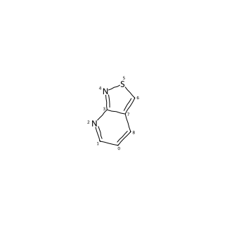 c1cnc2nscc2c1